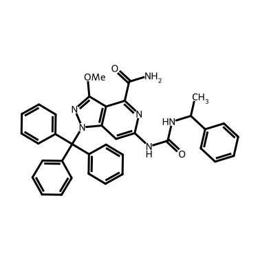 COc1nn(C(c2ccccc2)(c2ccccc2)c2ccccc2)c2cc(NC(=O)NC(C)c3ccccc3)nc(C(N)=O)c12